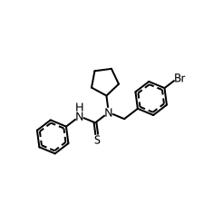 S=C(Nc1ccccc1)N(Cc1ccc(Br)cc1)C1CCCC1